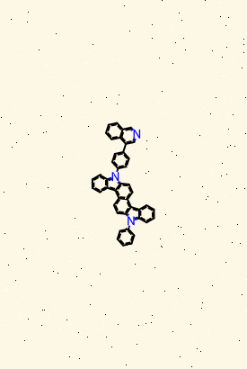 c1ccc(-n2c3ccccc3c3c4ccc5c(c4ccc32)c2ccccc2n5-c2ccc(-c3cncc4ccccc34)cc2)cc1